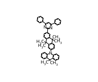 CC1(C)c2ccccc2N(c2ccc3c(c2)C(C)(C)c2ccc(-c4nc(-c5ccccc5)cc(-c5ccccc5)n4)cc2C3(C)C)c2ccccc21